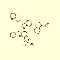 CNC(=O)c1ccccc1Sc1ccc2c(/C=C/c3ccccn3)nn(C(=O)C(Cc3ccccc3)NC(=O)OC(C)(C)C)c2c1